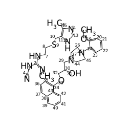 CN=C(NC#N)NCCSCc1[nH]cnc1C.COc1ccccc1N1CCN(CC(O)COc2cccc3ccccc23)CC1